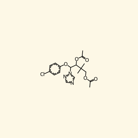 CC(=O)OCC(C)(C)C(OC(C)=O)C(Oc1ccc(Cl)cc1)n1cncn1